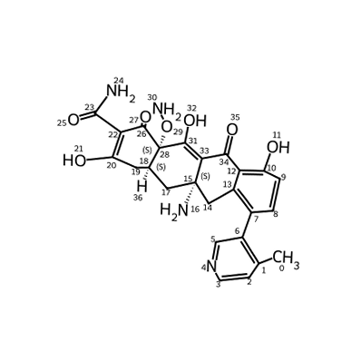 Cc1ccncc1-c1ccc(O)c2c1C[C@@]1(N)C[C@H]3CC(O)=C(C(N)=O)C(=O)[C@@]3(ON)C(O)=C1C2=O